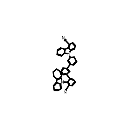 N#Cc1cccc2c1C1C=CC=CC1N2C1C=C(c2cccc(-c3cccc(C#N)c3-n3c4c(c5ccccc53)CCCC=C4)c2)C=CC1